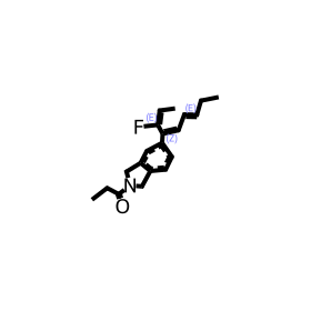 C\C=C(F)/C(=C\C=C\CC)c1ccc2c(c1)CN(C(=O)CC)C2